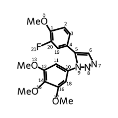 COc1ccc(-c2cnnn2-c2cc(OC)c(OC)c(OC)c2)cc1F